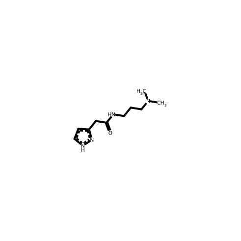 CN(C)CCCNC(=O)Cc1[c]c[nH]n1